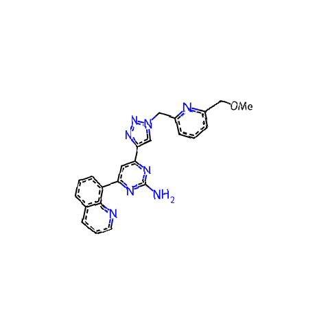 COCc1cccc(Cn2cc(-c3cc(-c4cccc5cccnc45)nc(N)n3)nn2)n1